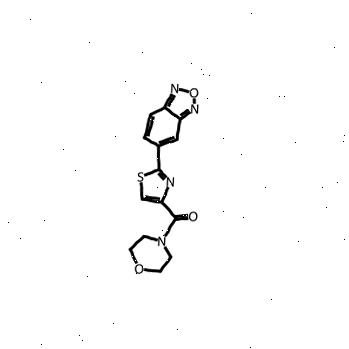 O=C(c1csc(-c2ccc3nonc3c2)n1)N1CCOCC1